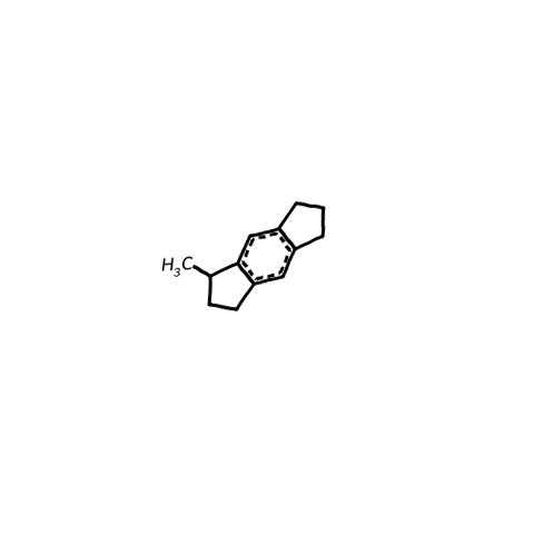 CC1CCc2cc3c(cc21)CCC3